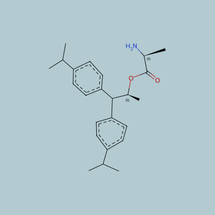 CC(C)c1ccc(C(c2ccc(C(C)C)cc2)[C@H](C)OC(=O)[C@H](C)N)cc1